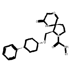 CCNC(=O)N1CC[C@@]2(COCC(=O)N2)[C@@H]1CO[C@H]1CC[C@@H](c2ccccc2)CC1